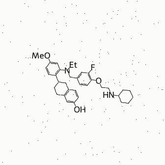 CCN(Cc1ccc(OCCNC2CCCCC2)c(F)c1)c1cc(OC)ccc1C1CCc2cc(O)ccc2C1